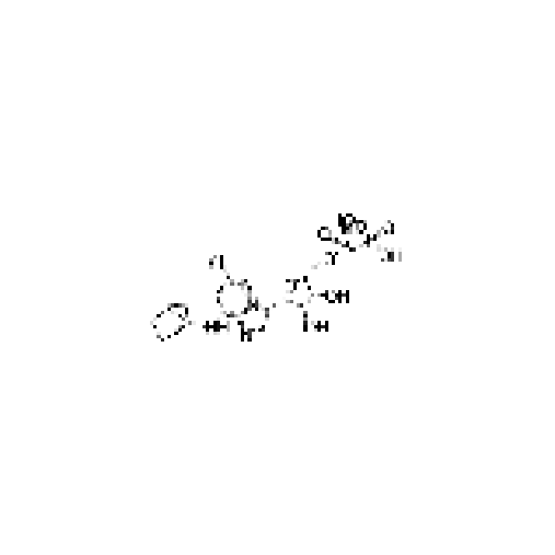 O=P(O)(O)CP(=O)(O)OC[C@H]1O[C@@H](c2cnc3c(N[C@@H]4CC5CCC4C5)cc(Cl)nn23)[C@H](O)[C@@H]1O